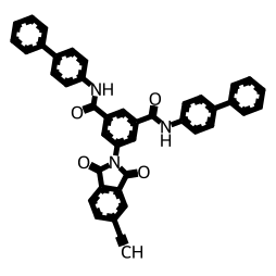 C#Cc1ccc2c(c1)C(=O)N(c1cc(C(=O)Nc3ccc(-c4ccccc4)cc3)cc(C(=O)Nc3ccc(-c4ccccc4)cc3)c1)C2=O